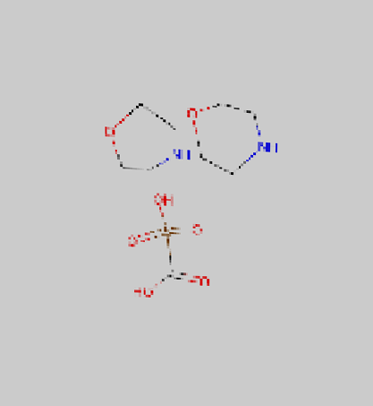 C1COCCN1.C1COCCN1.O=C(O)S(=O)(=O)O